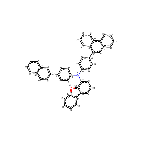 c1ccc2cc(-c3ccc(N(c4ccc(-c5cc6ccccc6c6ccccc56)cc4)c4cccc5c4oc4ccccc45)cc3)ccc2c1